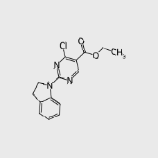 CCOC(=O)c1cnc(N2CCc3ccccc32)nc1Cl